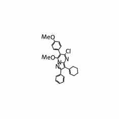 COc1ccc(-c2c(Cl)nc3c(C4=CCCCC4)c(-c4ccccc4)nn3c2OC)cc1